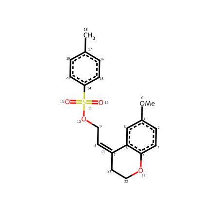 COc1ccc2c(c1)/C(=C\COS(=O)(=O)c1ccc(C)cc1)CCO2